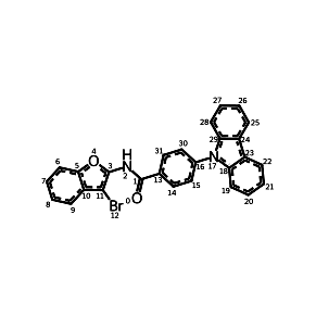 O=C(Nc1oc2ccccc2c1Br)c1ccc(-n2c3ccccc3c3ccccc32)cc1